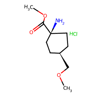 COC[C@H]1CC[C@](N)(C(=O)OC)CC1.Cl